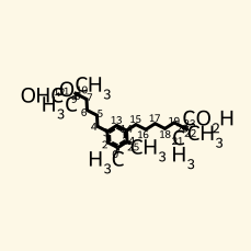 Cc1cc(CCCCC(C)(C)OC=O)cc(CCCCCC(C)(C)C(=O)O)c1C